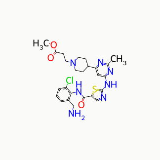 COC(=O)CCN1CCC(c2cc(Nc3ncc(C(=O)Nc4c(Cl)cccc4CN)s3)nc(C)n2)CC1